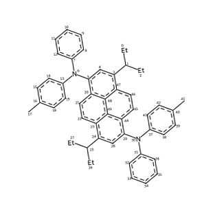 CCC(CC)c1cc(N(c2ccccc2)c2ccc(C)cc2)c2ccc3c(C(CC)CC)cc(N(c4ccccc4)c4ccc(C)cc4)c4ccc1c2c34